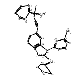 CC(O)(C#Cc1ccc2nc(OC3COC3)n(-c3ccnc(N)n3)c2c1)c1ncccn1